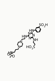 CS(=O)(=O)NCCCN1CCN(CCNc2nc(NCCS(=O)(=O)O)nc(Nc3cccc(S(=O)(=O)O)c3)n2)CC1